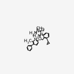 Cc1nc(OCc2c(C3CC3)cccc2N(N)C(=O)N(C)N)ccc1-c1ccccc1